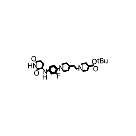 CC(C)(C)OC(=O)C1CCN(CCC2CCN(c3ccc(NC4CCC(=O)NC4=O)cc3F)CC2)CC1